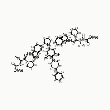 COC(=O)NC(C(=O)N1CCC[C@H]1c1nc2cc([C@H]3CC[C@H](c4ccc5[nH]c([C@@H]6CCCN6C(=O)[C@@H](NC(=O)OC)C(C)C)nc5c4)N3c3cc(F)c(N4CCC(c5ccccc5)CC4)c(F)c3)ccc2[nH]1)C(C)C